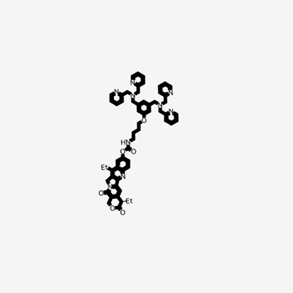 CCc1c2c(nc3ccc(OC(=O)NCCCCOc4cc(CN(Cc5ccccn5)Cc5ccccn5)cc(CN(Cc5ccccn5)Cc5ccccn5)c4)cc13)-c1cc3c(c(=O)n1C2)COC(=O)[C@H]3CC